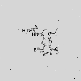 CCOC(=O)/C(Cc1cc(OC)ccc1Br)=C(\C)NC(N)=S